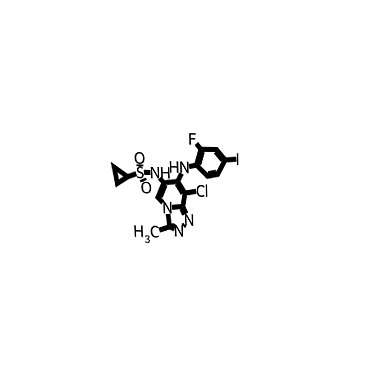 Cc1nnc2c(Cl)c(Nc3ccc(I)cc3F)c(NS(=O)(=O)C3CC3)cn12